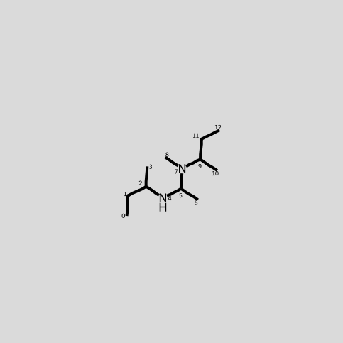 CCC(C)NC(C)N(C)C(C)CC